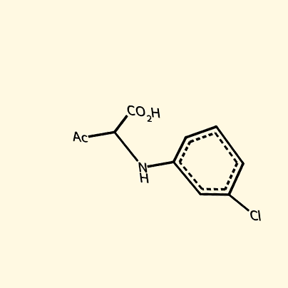 CC(=O)C(Nc1cccc(Cl)c1)C(=O)O